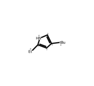 CCc1cc(C(C)(C)C)c[nH]1